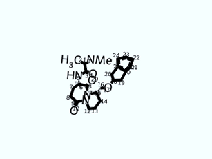 CNC(C)C(=O)N[C@H]1CCC(=O)N2CCC[C@@H](COC3Cc4ccccc4C3)N2C1=O